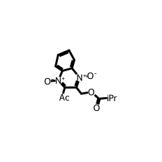 CC(=O)c1c(COC(=O)C(C)C)[n+]([O-])c2ccccc2[n+]1[O-]